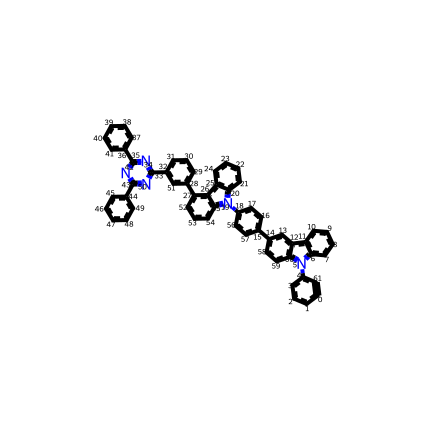 c1cccc(-n2c3ccccc3c3cc(-c4ccc(-n5c6ccccc6c6c(-c7cccc(-c8nc(-c9ccccc9)nc(-c9ccccc9)n8)c7)cccc65)cc4)ccc32)c#1